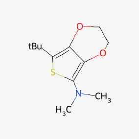 CN(C)c1sc(C(C)(C)C)c2c1OCCO2